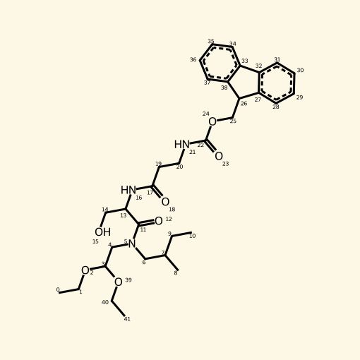 CCOC(CN(CC(C)CC)C(=O)C(CO)NC(=O)CCNC(=O)OCC1c2ccccc2-c2ccccc21)OCC